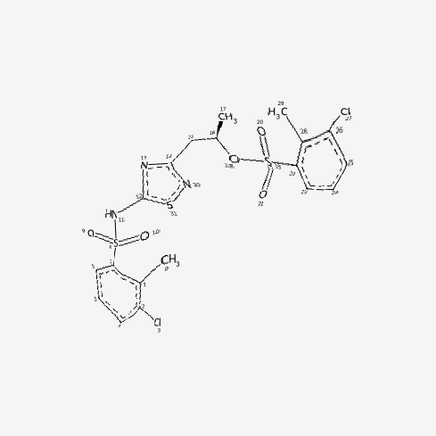 Cc1c(Cl)cccc1S(=O)(=O)Nc1nc(C[C@@H](C)OS(=O)(=O)c2cccc(Cl)c2C)ns1